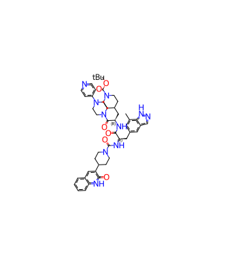 Cc1cc(C[C@@H](NC(=O)N2CCC(c3cc4ccccc4[nH]c3=O)CC2)C(=O)N[C@H](CC2CCN(C(=O)OC(C)(C)C)CC2)C(=O)N2CCN(c3ccncc3)CC2)cc2cn[nH]c12